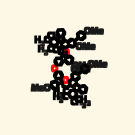 COc1ccc(-c2cc3c4c(c5c(c3cc2OC)OC(c2ccc(OC)cc2)(c2ccc(Oc3ccc(C6(c7ccc(OC)cc7)C=Cc7c8c(c9cc(-c%10ccc(OC)cc%10)c(OC)cc9c7O6)-c6ccccc6C86CC(C)(C)CC(C)(C)C6)cc3)cc2)C=C5)C2(CC(C)(C)CC(C)(C)C2)c2ccccc2-4)cc1